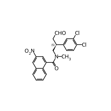 CN(C[C@@H](CC=O)c1ccc(Cl)c(Cl)c1)C(=O)c1cc([N+](=O)[O-])cc2ccccc12